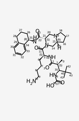 C[C@H](C(=O)N[C@@H](CCCCN)C(=O)N1C[C@H]2CCCN2C[C@H]1C(=O)N[C@@H]1CCCc2ccccc21)C(NC(=O)O)C(C)(C)C